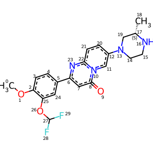 COc1ccc(-c2cc(=O)n3cc(N4CCN[C@@H](C)C4)ccc3n2)cc1OC(F)F